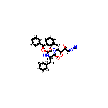 [N-]=[N+]=CC(=O)C(=O)[C@@H](Cc1ccccc1)NC(=O)[C@@H](Cc1ccccc1)NC(=O)OCc1ccccc1